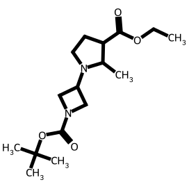 CCOC(=O)C1CCN(C2CN(C(=O)OC(C)(C)C)C2)C1C